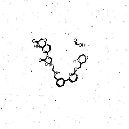 O=C1COc2ccc(N3C[C@H](CCNCc4cccc(-c5cccc(OCC6COCCN6)n5)c4)OC3=O)nc2N1.O=CO